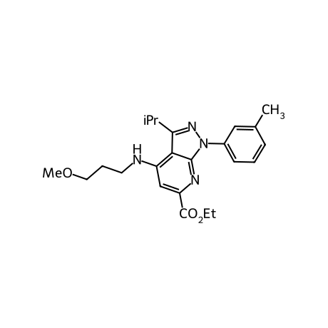 CCOC(=O)c1cc(NCCCOC)c2c(C(C)C)nn(-c3cccc(C)c3)c2n1